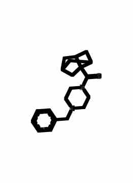 O=C(N1CCN(Cc2ccccc2)CC1)C12CC3CC1CC2C3